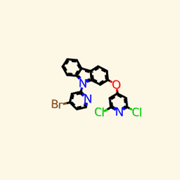 Clc1cc(Oc2ccc3c4ccccc4n(-c4cc(Br)ccn4)c3c2)cc(Cl)n1